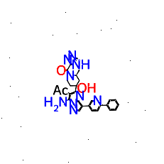 CC(=O)c1c([C@]2(O)CCN(C(=O)c3nnc[nH]3)[C@@H](C)C2)nc2c(-c3ccc(-c4ccccc4)nc3)cnn2c1N